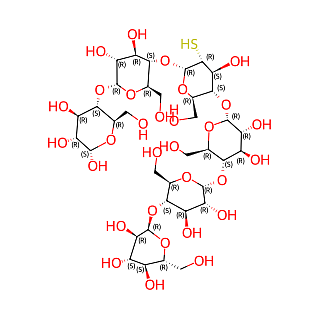 OC[C@H]1O[C@H](O[C@H]2[C@H](O)[C@@H](O)[C@@H](O[C@H]3[C@H](O)[C@@H](O)[C@@H](O[C@H]4[C@H](O)[C@@H](S)[C@@H](O[C@H]5[C@H](O)[C@@H](O)[C@@H](O[C@H]6[C@H](O)[C@@H](O)[C@@H](O)O[C@@H]6CO)O[C@@H]5CO)O[C@@H]4CO)O[C@@H]3CO)O[C@@H]2CO)[C@H](O)[C@@H](O)[C@@H]1O